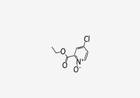 CCOC(=O)c1cc(Cl)cc[n+]1[O-]